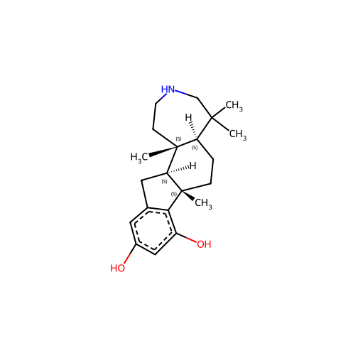 CC1(C)CNCC[C@]2(C)[C@@H]1CC[C@]1(C)c3c(O)cc(O)cc3C[C@@H]21